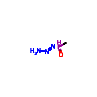 C[PH](=O)N=NN